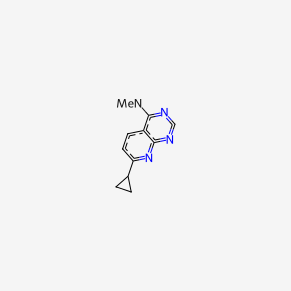 CNc1ncnc2nc(C3CC3)ccc12